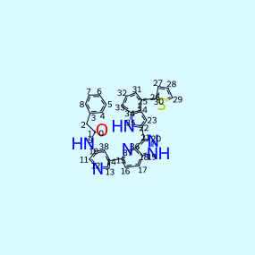 O=C(Cc1ccccc1)Nc1cncc(-c2ccc3[nH]nc(-c4cc5c(-c6cccs6)cccc5[nH]4)c3n2)c1